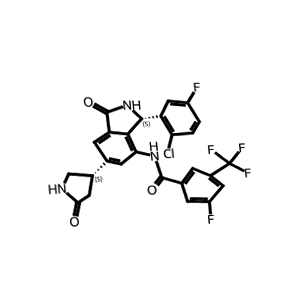 O=C1C[C@@H](c2cc(NC(=O)c3cc(F)cc(C(F)(F)F)c3)c3c(c2)C(=O)N[C@@H]3c2cc(F)ccc2Cl)CN1